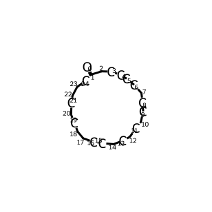 O=C1CCCCCCCCCCCCCCCCCCCCCCC1